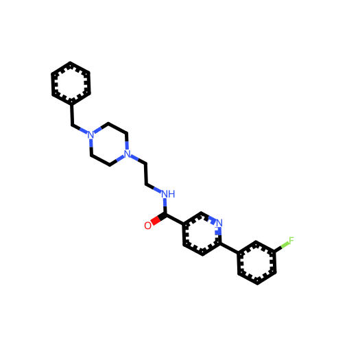 O=C(NCCN1CCN(Cc2ccccc2)CC1)c1ccc(-c2cccc(F)c2)nc1